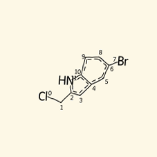 ClCc1cc2cc(Br)ccc2[nH]1